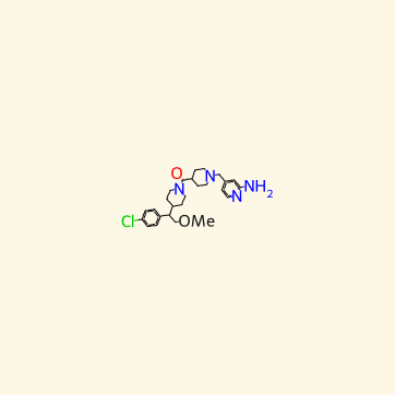 COCC(c1ccc(Cl)cc1)C1CCN(C(=O)C2CCN(Cc3ccnc(N)c3)CC2)CC1